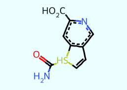 NC(=O)[SH]1C=Cc2cnc(C(=O)O)cc21